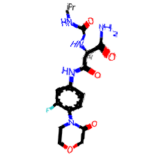 CC(C)NC(=O)N[C@@H](C(N)=O)C(=O)Nc1ccc(N2CCOCC2=O)c(F)c1